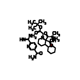 C[C@H](N)C(=O)C1(C(=O)O)C(C2CCCCC2)CCCN1CC(=O)OC(C)(C)C.N=C(N)c1ccc(C(N)=O)cn1